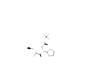 CC(SC#N)C(=O)N(CC(=O)OC(C)(C)C)C1CCCC1